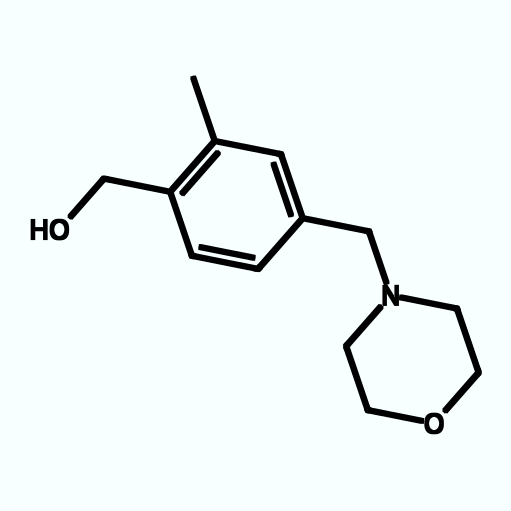 Cc1cc(CN2CCOCC2)ccc1CO